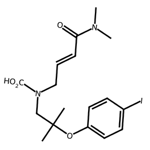 CN(C)C(=O)C=CCN(CC(C)(C)Oc1ccc(I)cc1)C(=O)O